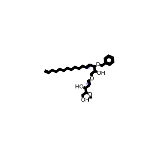 C=CCCCCCCCCC/C=C/C(OCc1ccccc1)C(O)CO/C=C/C(O)C(CO)OC